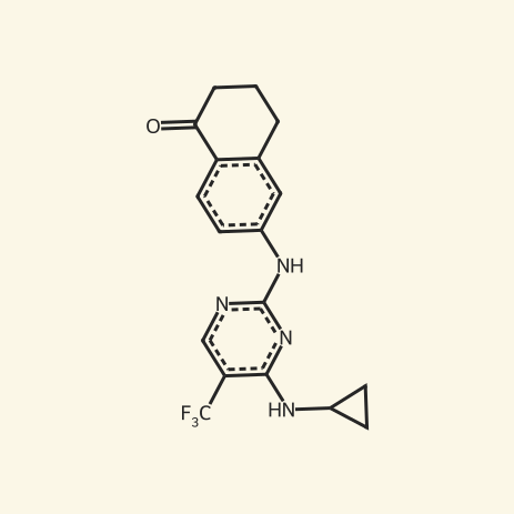 O=C1CCCc2cc(Nc3ncc(C(F)(F)F)c(NC4CC4)n3)ccc21